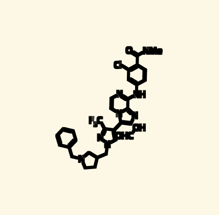 CNC(=O)c1ccc(Nc2nccn3c(-c4cn(CC5CCN(Cc6ccccc6)C5)nc4C(F)(F)F)cnc23)cc1Cl.O=CO